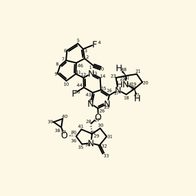 C#Cc1c(F)ccc2cccc(-c3ncc4c(N5C[C@H]6CC[C@@H](C5)N6)nc(OC[C@]56CCC(=C)N5C[C@H](OC5CC5)C6)nc4c3F)c12